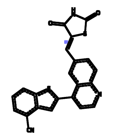 N#Cc1cccc2sc(-c3ccnc4ccc(/C=C5\SC(=O)NC5=O)cc34)cc12